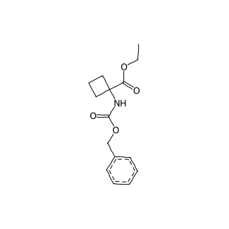 CCOC(=O)C1(NC(=O)OCc2ccccc2)CCC1